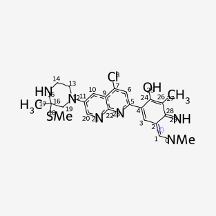 CN/C=C1/C=C(c2cc(Cl)c3cc(N4CCNC(C)(SC)C4)cnc3n2)C(O)=C(C)C1=N